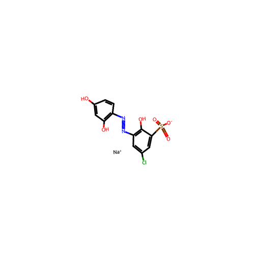 O=S(=O)([O-])c1cc(Cl)cc(N=Nc2ccc(O)cc2O)c1O.[Na+]